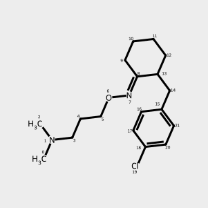 CN(C)CCCON=C1CCCCC1Cc1ccc(Cl)cc1